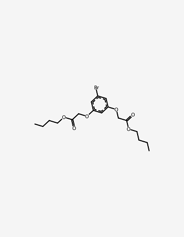 CCCCOC(=O)COc1cc(Br)cc(OCC(=O)OCCCC)c1